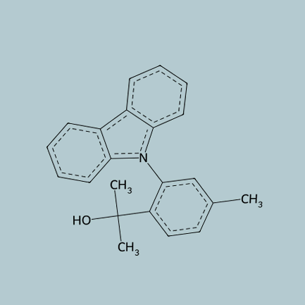 Cc1ccc(C(C)(C)O)c(-n2c3ccccc3c3ccccc32)c1